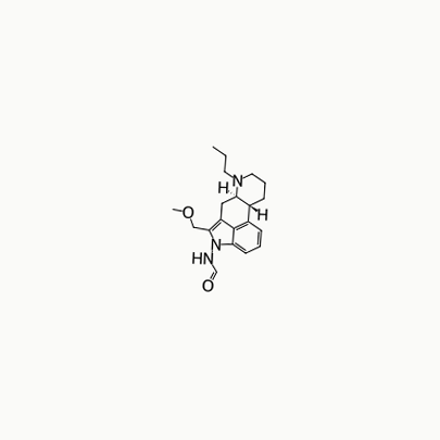 CCCN1CCC[C@@H]2c3cccc4c3c(c(COC)n4NC=O)C[C@H]21